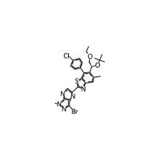 CCOC[C@@H](OC(C)(C)C)c1c(C)cc2nc(-c3cnc4c(n3)c(Br)nn4C)sc2c1-c1ccc(Cl)cc1